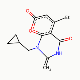 C=C1NC(=O)c2c(CC)cc(=O)oc2N1CC1CC1